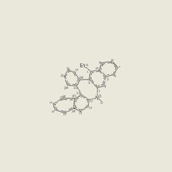 CCc1c2c(cc3ccccc13)N(C)c1ccc3ccccc3c1-c1ccccc1-2